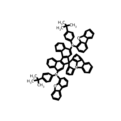 CC(C)(C)c1ccc(N(c2cc3c(c4ccccc24)-c2c(cc(N(c4ccc(C(C)(C)C)cc4)c4cccc5c4oc4ccccc45)c4ccccc24)C32c3ccccc3-n3c4ccccc4c4cccc2c43)c2cccc3c2oc2ccccc23)cc1